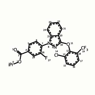 CC(C)OC(=O)c1ccc(-n2nc(Oc3c(Cl)cccc3C(F)(F)F)c3ccccc32)c(F)c1